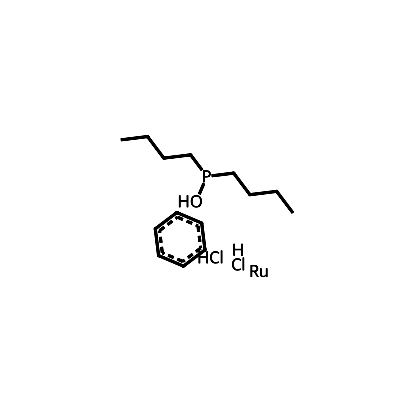 CCCCP(O)CCCC.Cl.Cl.[Ru].c1ccccc1